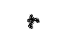 c1ccc(-c2nc(-c3ccccc3)c3c4cc(-c5ccc6oc7ccccc7c6c5)ccc4n(-c4ccc5oc6ccccc6c5c4)c3n2)cc1